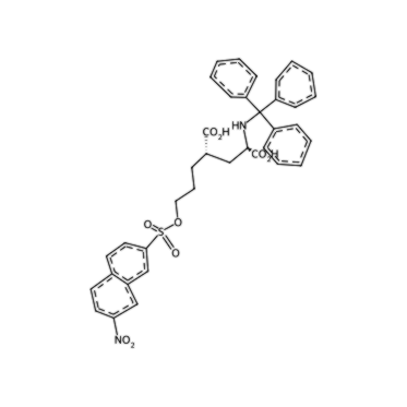 O=C(O)[C@@H](CCCOS(=O)(=O)c1ccc2ccc([N+](=O)[O-])cc2c1)C[C@@H](NC(c1ccccc1)(c1ccccc1)c1ccccc1)C(=O)O